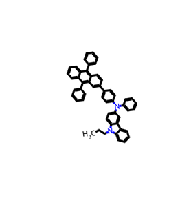 CCCn1c2ccccc2c2cc(N(c3ccccc3)c3ccc(-c4ccc5c(-c6ccccc6)c6ccccc6c(-c6ccccc6)c5c4)cc3)ccc21